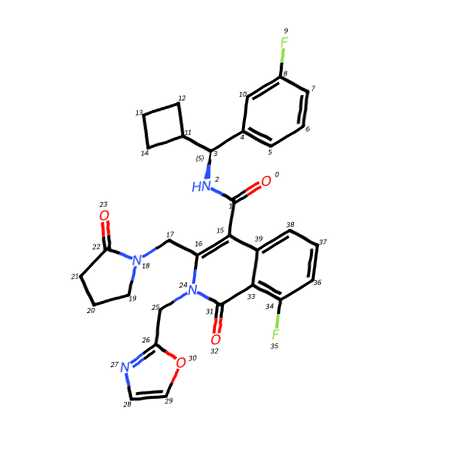 O=C(N[C@H](c1cccc(F)c1)C1CCC1)c1c(CN2CCCC2=O)n(Cc2ncco2)c(=O)c2c(F)cccc12